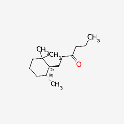 CCCC(=O)CC[C@H]1[C@H](C)CCCC1(C)C